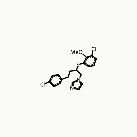 COc1c(Cl)cccc1SC(CCc1ccc(Cl)cc1)Cn1ccnc1